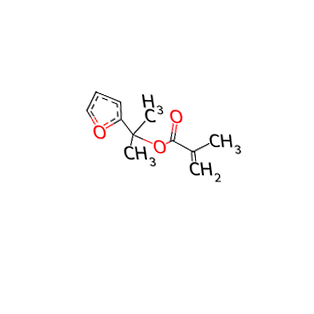 C=C(C)C(=O)OC(C)(C)c1ccco1